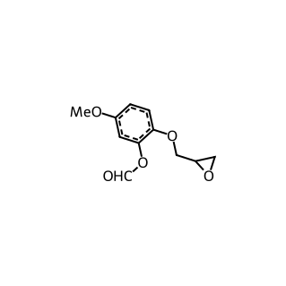 COc1ccc(OCC2CO2)c(OC=O)c1